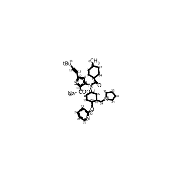 CC1CCC(C(=O)N(c2cc(C#CC(C)(C)C)sc2C(=O)[O-])[C@@H]2CCC(Oc3ccccn3)C(CN3CCCC3)C2)CC1.[Na+]